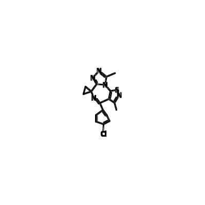 Cc1nsc2c1C(c1ccc(Cl)cc1)=NC1(CC1)c1nnc(C)n1-2